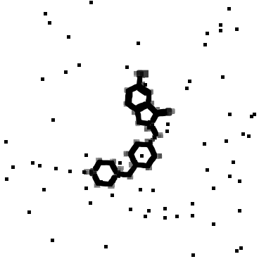 O=C1c2cc(O)ccc2CN1C[C@H]1CC[C@H](CN2CCOCC2)CC1